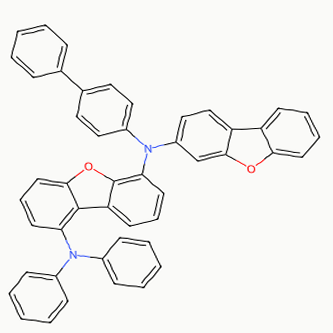 c1ccc(-c2ccc(N(c3ccc4c(c3)oc3ccccc34)c3cccc4c3oc3cccc(N(c5ccccc5)c5ccccc5)c34)cc2)cc1